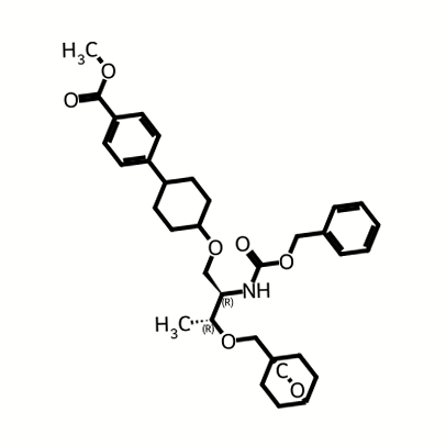 COC(=O)c1ccc(C2CCC(OC[C@@H](NC(=O)OCc3ccccc3)[C@@H](C)OCC34CCC(CC3)OC4)CC2)cc1